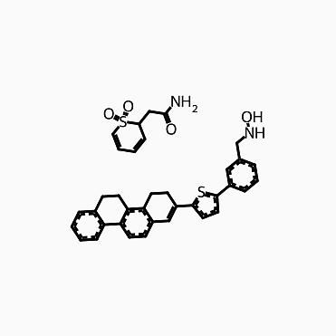 NC(=O)CC1C=CC=CS1(=O)=O.ONCc1cccc(-c2ccc(C3=Cc4ccc5c(c4CC3)CCc3ccccc3-5)s2)c1